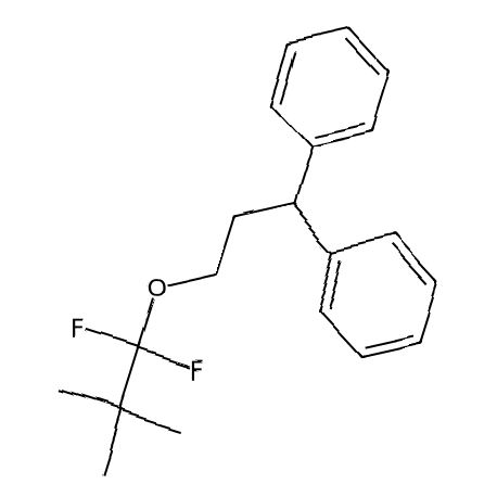 CC(C)(C)C(F)(F)OCCC(c1ccccc1)c1ccccc1